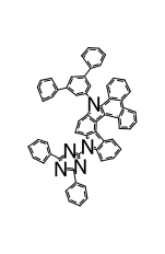 c1ccc(-c2cc(-c3ccccc3)cc(-n3c4ccc5c(c6ccccc6n5-c5nc(-c6ccccc6)nc(-c6ccccc6)n5)c4c4c5ccccc5c5ccccc5c43)c2)cc1